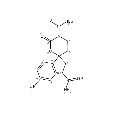 CC(N1CCC(CCC(N)=O)(c2ccc(F)cc2)OC1=O)C(C)(C)C